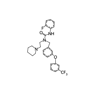 O=C(Nc1ccccc1F)N(CCN1CCCCC1)Cc1cccc(Oc2cccc(C(F)(F)F)c2)c1